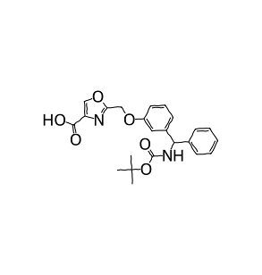 CC(C)(C)OC(=O)NC(c1ccccc1)c1cccc(OCc2nc(C(=O)O)co2)c1